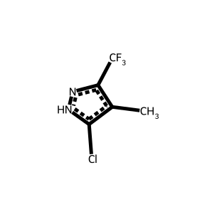 Cc1c(C(F)(F)F)n[nH]c1Cl